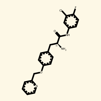 N[C@@H](Cc1ccc(OCc2ccccn2)cc1)C(=O)Nc1ccc(F)c(Cl)c1